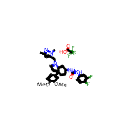 COc1ccc(C23CCC(NC(=O)Nc4ccc(F)c(F)c4)CC2N(Cc2cc(C)nn2C)CC3)cc1OC.O=C(O)C(F)(F)F